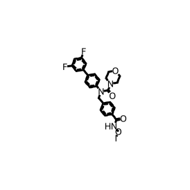 O=C(NOI)c1ccc(CN(C(=O)N2CCOCC2)c2ccc(-c3cc(F)cc(F)c3)cc2)cc1